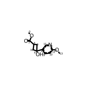 COC(=O)C1CC(O)(c2ccc(OC)nc2)C1